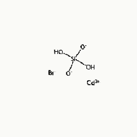 [Br-].[Gd+3].[O-][Si]([O-])(O)O